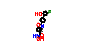 O=C(NO)c1ccc2oc(-c3ccc(-c4cc(F)ccc4O)cc3)nc2c1